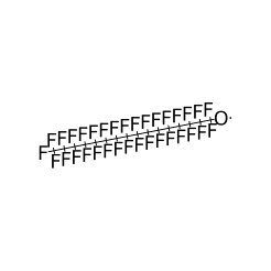 [O]C(F)(F)C(F)(F)C(F)(F)C(F)(F)C(F)(F)C(F)(F)C(F)(F)C(F)(F)C(F)(F)C(F)(F)C(F)(F)C(F)(F)C(F)(F)C(F)(F)C(F)(F)C(F)(F)F